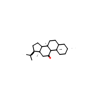 CC(=O)O[C@@H]1CC[C@@]2(C)[C@@H](CC[C@@H]3[C@@H]2C(=O)C[C@]2(C)C(=C(C)C#N)CC[C@@H]32)C1